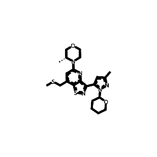 CSCc1cc(N2CCOC[C@H]2C)nc2c(-c3cc(C)nn3C3CCCCO3)nsc12